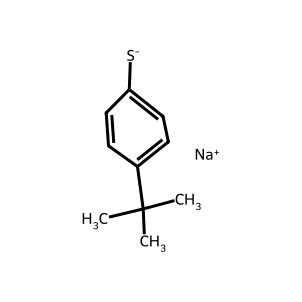 CC(C)(C)c1ccc([S-])cc1.[Na+]